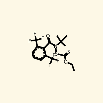 CCOC(=S)SN(C(=O)c1c(C(F)(F)F)cccc1C(F)(F)F)C(C)(C)C